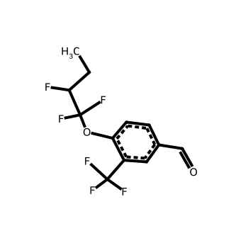 CCC(F)C(F)(F)Oc1ccc(C=O)cc1C(F)(F)F